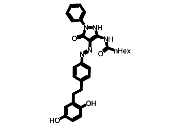 CCCCCCC(=O)Nc1[nH]n(-c2ccccc2)c(=O)c1N=Nc1ccc(CCc2cc(O)ccc2O)cc1